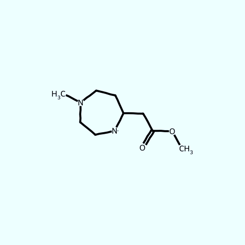 COC(=O)CC1CCN(C)CC[N]1